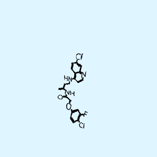 C=C(CCNc1ccnc2cc(Cl)ccc12)NC(=O)COc1ccc(Cl)c(F)c1